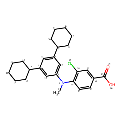 CN(c1cc(C2CCCCC2)cc(C2CCCCC2)c1)c1ccc(C(=O)O)cc1Cl